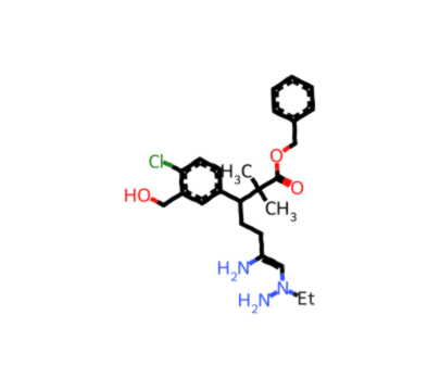 CCN(N)/C=C(\N)CCC(c1ccc(Cl)c(CO)c1)C(C)(C)C(=O)OCc1ccccc1